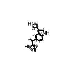 CC(c1ccc2[nH]cc(C3CNC3)c2c1)c1nnn[nH]1